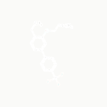 C=CCOc1cc(-c2ccc(C(F)(F)F)cc2)ccc1CC